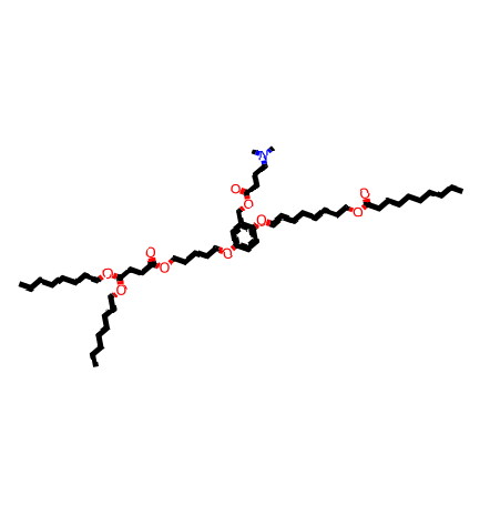 CCCCCCCCCC(=O)OCCCCCCCCOc1ccc(OCCCCCOC(=O)CCC(OCCCCCCCC)OCCCCCCCC)cc1COC(=O)CCCN(C)C